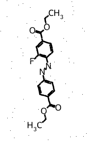 CCOC(=O)c1ccc(/N=N/c2ccc(C(=O)OCC)cc2F)cc1